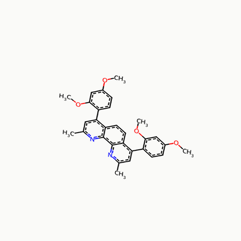 COc1ccc(-c2cc(C)nc3c2ccc2c(-c4ccc(OC)cc4OC)cc(C)nc23)c(OC)c1